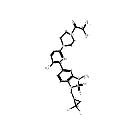 Cc1ccc(N2CCN(C(=O)C(C)O)CC2)nc1-c1ccc2c(c1)N(C)S(=O)(=O)N2CC1CC1(F)F